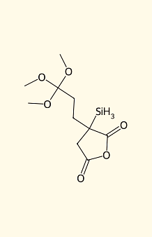 COC(CCC1([SiH3])CC(=O)OC1=O)(OC)OC